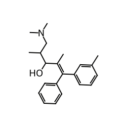 CC(=C(c1ccccc1)c1cccc(C)c1)C(O)C(C)CN(C)C